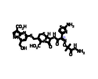 CC(C)(O/N=C(\C(=O)NC1C(=O)N2C(C(=O)O)=C(CSc3cc(CO)n4ncc(C(=O)O)c4n3)CS[C@H]12)c1csc(N)n1)C(=O)NN